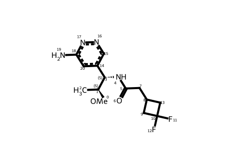 CO[C@@H](C)[C@@H](NC(=O)CC1CC(F)(F)C1)c1cnnc(N)c1